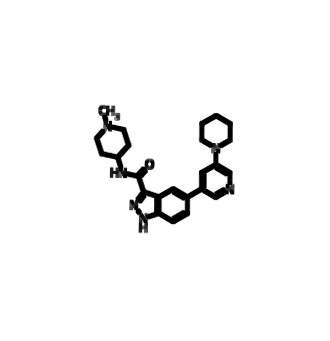 CN1CCC(NC(=O)c2n[nH]c3ccc(-c4cncc(N5CCCCC5)c4)cc23)CC1